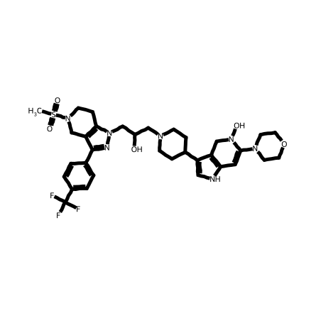 CS(=O)(=O)N1CCc2c(c(-c3ccc(C(F)(F)F)cc3)nn2CC(O)CN2CCC(c3c[nH]c4c3CN(O)C(N3CCOCC3)=C4)CC2)C1